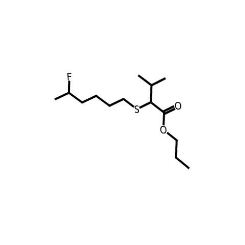 CCCOC(=O)C(SCCCCC(C)F)C(C)C